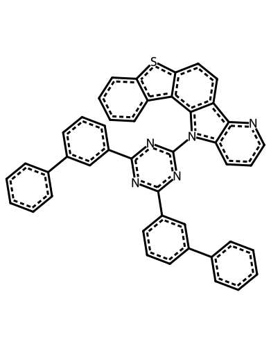 c1ccc(-c2cccc(-c3nc(-c4cccc(-c5ccccc5)c4)nc(-n4c5cccnc5c5ccc6sc7ccccc7c6c54)n3)c2)cc1